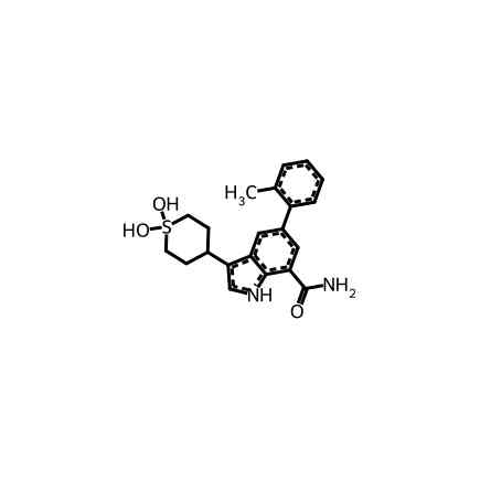 Cc1ccccc1-c1cc(C(N)=O)c2[nH]cc(C3CCS(O)(O)CC3)c2c1